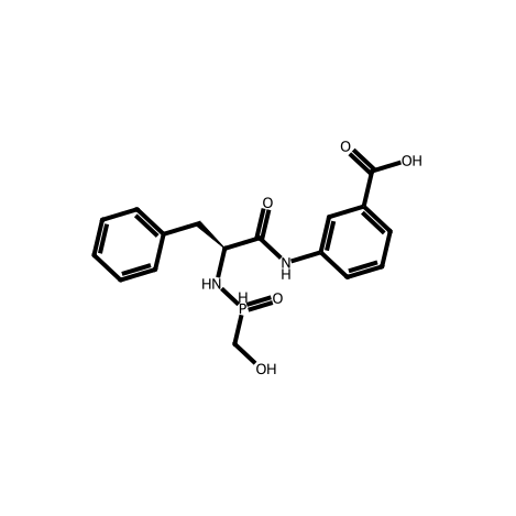 O=C(O)c1cccc(NC(=O)[C@H](Cc2ccccc2)N[PH](=O)CO)c1